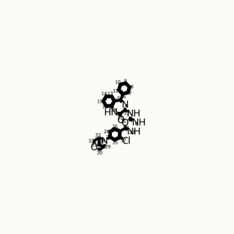 N=C(NC1N=C(c2ccccc2)c2ccccc2NC1=O)OC(=N)c1ccc(N2C3COCC2C3)cc1Cl